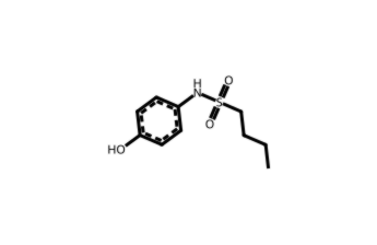 CCCCS(=O)(=O)Nc1ccc(O)cc1